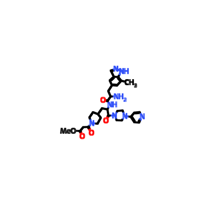 COC(=O)CC(=O)N1CCC(CC(NC(=O)C(N)Cc2cc(C)c3[nH]ncc3c2)C(=O)N2CCN(c3ccncc3)CC2)CC1